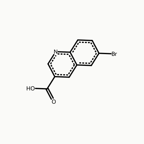 O=C(O)c1cnc2ccc(Br)cc2c1